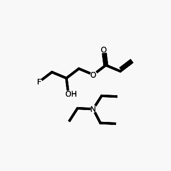 C=CC(=O)OCC(O)CF.CCN(CC)CC